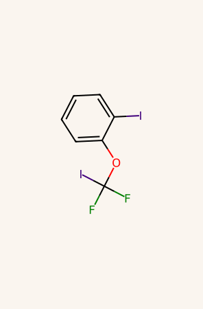 FC(F)(I)Oc1ccccc1I